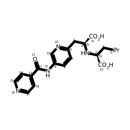 CC(C)C[C@H](N[C@@H](Cc1ccc(NC(=O)c2ccncc2)cn1)C(=O)O)C(=O)O